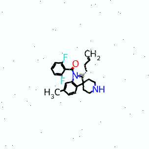 C=CCC[C@H]1N(C(=O)c2c(F)cccc2F)c2cc(C)ccc2C12CCNCC2